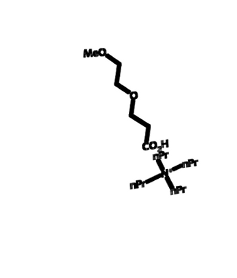 CCC[N+](CCC)(CCC)CCC.COCCOCCC(=O)O